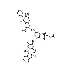 COc1cc2c(cc1OCc1cc(COc3cc4c(cc3C)C(=O)N3c5ccccc5C[C@H]3C=N4)cc(NC(=O)CCC(C)C)c1)N=C[C@@H]1Cc3ccccc3N1C2=O